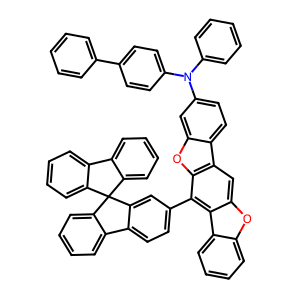 c1ccc(-c2ccc(N(c3ccccc3)c3ccc4c(c3)oc3c(-c5ccc6c(c5)C5(c7ccccc7-c7ccccc75)c5ccccc5-6)c5c(cc34)oc3ccccc35)cc2)cc1